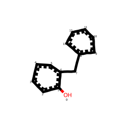 Oc1ccccc1Cc1[c]cccc1